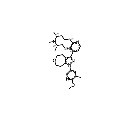 COc1ncc(-n2nc(-c3ccnc([C@@H](C)CC[C@H](C)N(C)[C@H](C)CN)c3)c3c2CCOCC3)cc1C